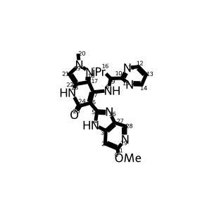 COc1cc2[nH]c(-c3c(NC(c4ncccn4)C(C)C)c4nn(C)cc4[nH]c3=O)nc2cn1